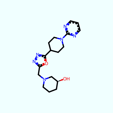 O[C@H]1CCCN(Cc2nnc(C3CCN(c4ncccn4)CC3)o2)C1